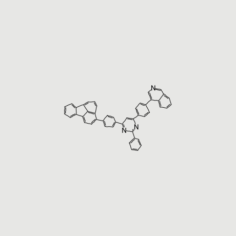 c1ccc(-c2nc(-c3ccc(-c4cncc5ccccc45)cc3)cc(-c3ccc(-c4ccc5c6c(cccc46)-c4ccccc4-5)cc3)n2)cc1